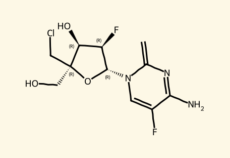 C=C1N=C(N)C(F)=CN1[C@@H]1O[C@@](CO)(CCl)[C@@H](O)[C@H]1F